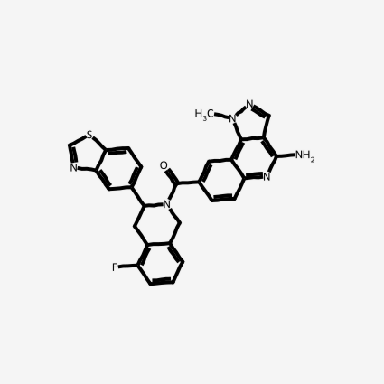 Cn1ncc2c(N)nc3ccc(C(=O)N4Cc5cccc(F)c5CC4c4ccc5scnc5c4)cc3c21